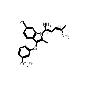 CCOC(=O)c1cccc(Sc2c(C)n(/C(N)=C/C=C(/C)N)c3cc(Cl)ccc23)c1